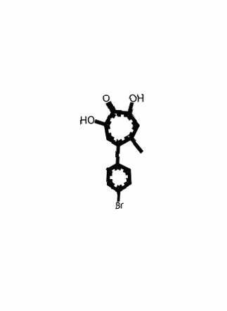 Cc1cc(O)c(=O)c(O)cc1-c1ccc(Br)cc1